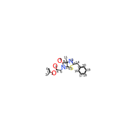 C=C(C)OC(=O)CN1C(=O)C2(C)N=C(Cc3ccccc3)SC12